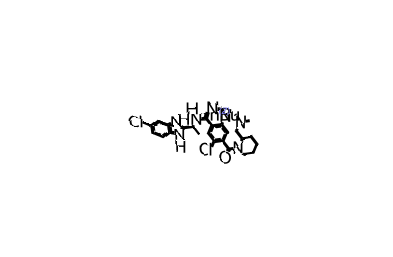 C=C(NC(C)c1nc2cc(Cl)ccc2[nH]1)c1cc(Cl)c(C(=O)N2CCCCC2CN(C)CCCC)cc1/N=C\N